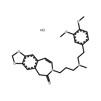 COc1ccc(CCN(C)CCCN2C=Cc3cc4c(cc3CC2=O)OCO4)cc1OC.Cl